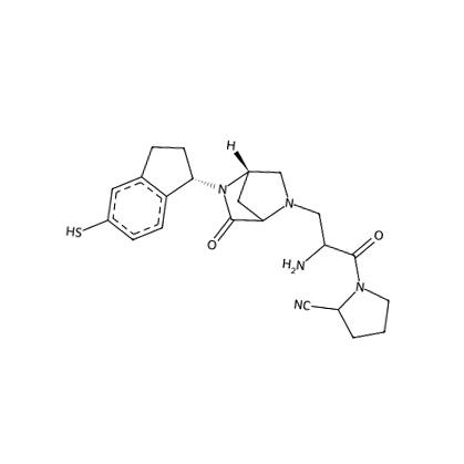 N#CC1CCCN1C(=O)C(N)CN1C[C@@H]2CC1C(=O)N2[C@H]1CCc2cc(S)ccc21